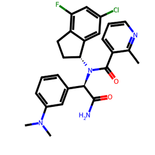 Cc1ncccc1C(=O)N([C@@H]1CCc2c(F)cc(Cl)cc21)[C@@H](C(N)=O)c1cccc(N(C)C)c1